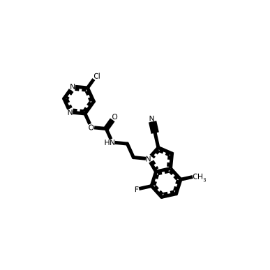 Cc1ccc(F)c2c1cc(C#N)n2CCNC(=O)Oc1cc(Cl)ncn1